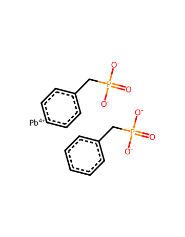 O=P([O-])([O-])Cc1ccccc1.O=P([O-])([O-])Cc1ccccc1.[Pb+4]